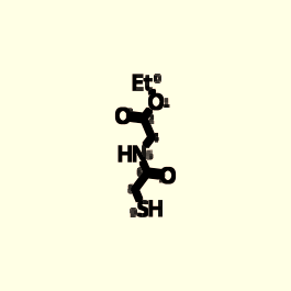 CCOC(=O)CNC(=O)CS